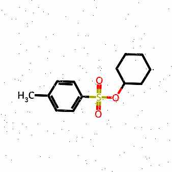 Cc1ccc(S(=O)(=O)OC2C[CH]CCC2)cc1